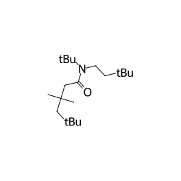 CC(C)(C)CCN(C(=O)CC(C)(C)CC(C)(C)C)C(C)(C)C